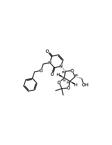 CC1(C)O[C@@H]2[C@H](O1)[C@H](n1ccc(=O)n(COCc3ccccc3)c1=O)O[C@@H]2CO